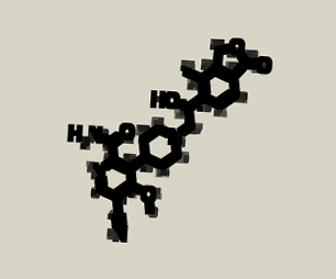 COc1c(C#N)cnc(C(N)=O)c1C1CCN(CC(O)c2ccc3c(c2C)COC3=O)CC1